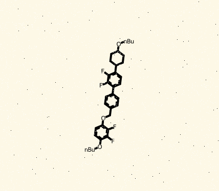 CCCCOc1ccc(OCc2ccc(-c3ccc(C4CCC(OCCCC)CC4)c(F)c3F)cc2)c(F)c1F